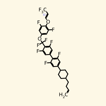 C=CCCC1CCC(c2cc(F)c(-c3cc(F)c(C(F)(F)Oc4cc(F)c(O/C=C/C(F)(F)F)c(F)c4)c(F)c3)c(F)c2)CC1